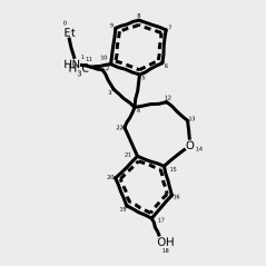 CCNCCC1(c2ccccc2C)CCOc2cc(O)ccc2C1